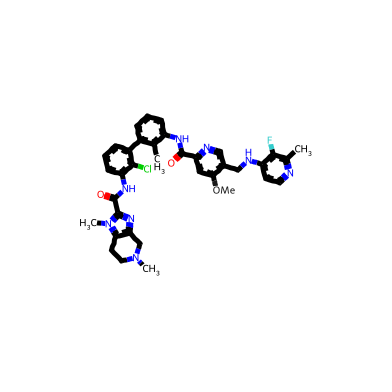 COc1cc(C(=O)Nc2cccc(-c3cccc(NC(=O)c4nc5c(n4C)CCN(C)C5)c3Cl)c2C)ncc1CNc1ccnc(C)c1F